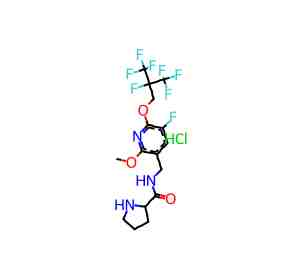 COc1nc(OCC(F)(C(F)(F)F)C(F)(F)F)c(F)cc1CNC(=O)C1CCCN1.Cl